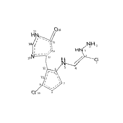 NN/C(Cl)=C\Nc1ccc(Cl)cc1-c1cc(=O)[nH]cn1